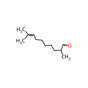 CC(C)=CCCCCCC(C)C=O